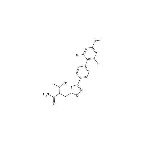 COc1cc(F)c(-c2ccc(C3=NOC(CC(C(N)=O)[S+](C)[O-])C3)cc2)c(F)c1